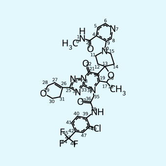 CNC(=O)c1ccncc1N1CCC2(CC1)OC(C)c1c2c(=O)n2nc(C3=CCOCC3)nc2n1CC(=O)Nc1ccc(C(F)(F)F)cc1Cl